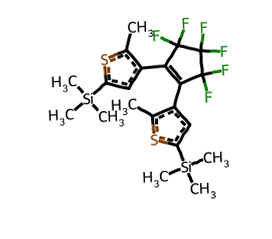 Cc1sc([Si](C)(C)C)cc1C1=C(c2cc([Si](C)(C)C)sc2C)C(F)(F)C(F)(F)C1(F)F